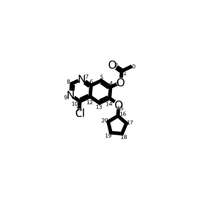 CC(=O)Oc1cc2ncnc(Cl)c2cc1OC1CCCC1